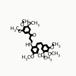 COC1=C(OC)C(OC)CC(C(=O)CCNc2cc(OC)c(Cl)cc2/C=C\c2cc(OC)c(OC)c(OC)c2)=C1